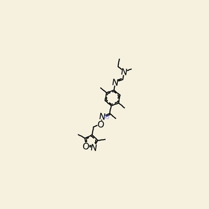 CCN(C)C=Nc1cc(C)c(/C(C)=N/OCc2c(C)noc2C)cc1C